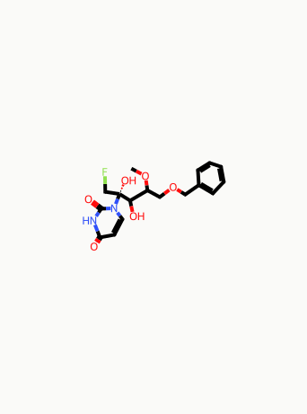 COC(COCc1ccccc1)C(O)[C@](O)(CF)n1ccc(=O)[nH]c1=O